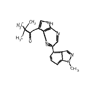 Cn1ncc2c(-c3cnc4[nH]cc(C(=O)C(C)(C)C)c4n3)cccc21